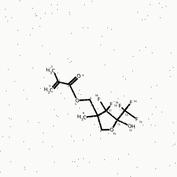 C=C(C)C(=O)OCC1(C)COC(O)(C(F)(F)F)C1(F)F